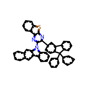 c1ccc(C2(c3ccccc3)c3ccccc3-c3cc(-c4nc5sc6ccccc6c5nc4-n4c5ccccc5c5cc6ccccc6cc54)ccc32)cc1